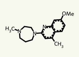 COc1ccc2c(C)cc(N3CCCN(C)CC3)nc2c1